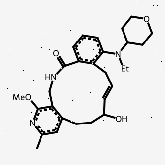 CCN(c1cccc2c1C/C=C/C(O)CCc1cc(C)nc(OC)c1CNC2=O)C1CCOCC1